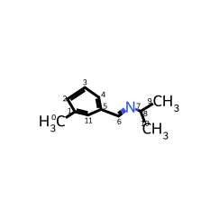 Cc1cccc(/C=N/C(C)C)c1